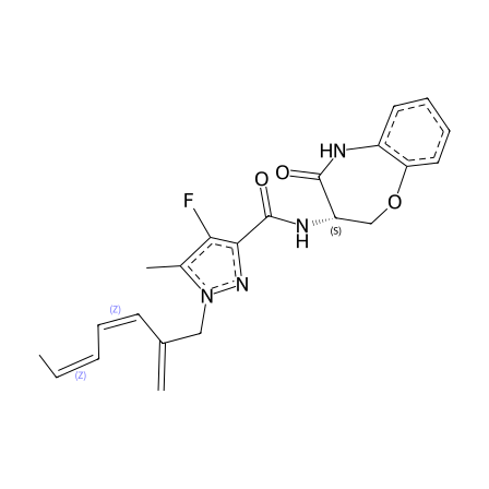 C=C(/C=C\C=C/C)Cn1nc(C(=O)N[C@H]2COc3ccccc3NC2=O)c(F)c1C